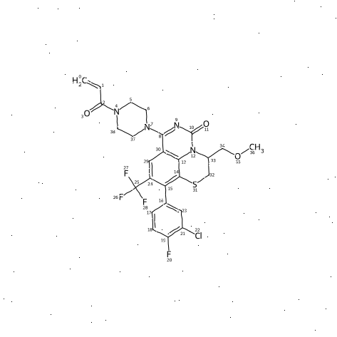 C=CC(=O)N1CCN(c2nc(=O)n3c4c(c(-c5ccc(F)c(Cl)c5)c(C(F)(F)F)cc24)SCC3COC)CC1